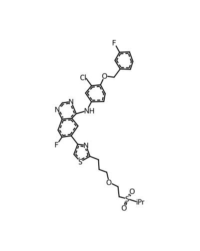 CC(C)S(=O)(=O)CCOCCCc1nc(-c2cc3c(Nc4ccc(OCc5cccc(F)c5)c(Cl)c4)ncnc3cc2F)cs1